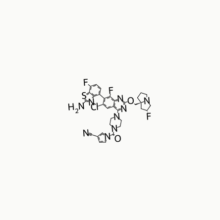 N#Cc1ccn(C(=O)N2CCN(c3nc(OC[C@@]45CCCN4C[C@H](F)C5)nc4c(F)c(-c5ccc(F)c6sc(N)nc56)c(Cl)cc34)CC2)c1